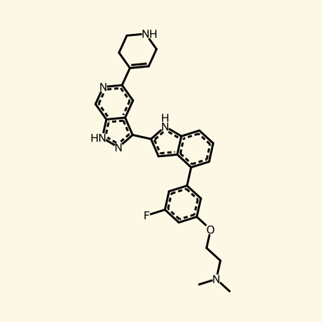 CN(C)CCOc1cc(F)cc(-c2cccc3[nH]c(-c4n[nH]c5cnc(C6=CCNCC6)cc45)cc23)c1